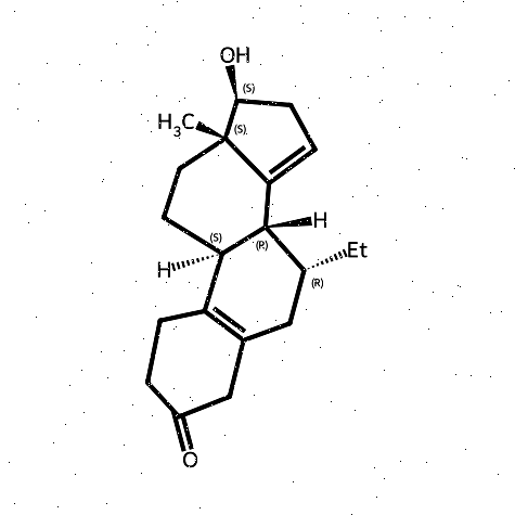 CC[C@@H]1CC2=C(CCC(=O)C2)[C@H]2CC[C@@]3(C)C(=CC[C@@H]3O)[C@H]12